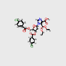 CCOC(OCC)c1c(C(=O)OC)ncn1[C@H]1C[C@H](OC(=O)c2ccc(Cl)cc2)[C@@H](COC(=O)c2ccc(Cl)cc2)O1